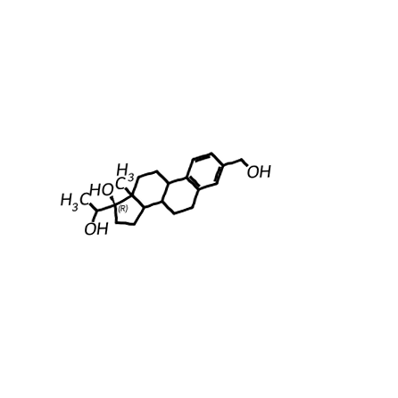 CC(O)[C@@]1(O)CCC2C3CCc4cc(CO)ccc4C3CCC21C